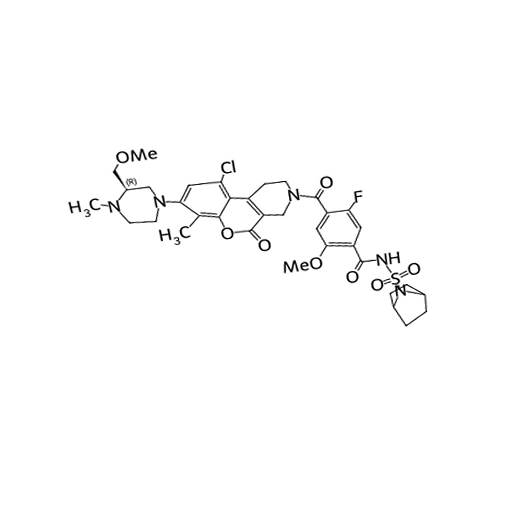 COC[C@H]1CN(c2cc(Cl)c3c4c(c(=O)oc3c2C)CN(C(=O)c2cc(OC)c(C(=O)NS(=O)(=O)N3C5CCC3CC5)cc2F)CC4)CCN1C